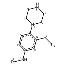 CCNc1ccc(N2CCNCC2)c(CI)c1